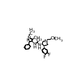 CCn1nc(-c2ccccc2)c(NC(=O)N[C@@H]2CN(CCOC)C[C@H]2c2ccc(F)c(F)c2)c1C